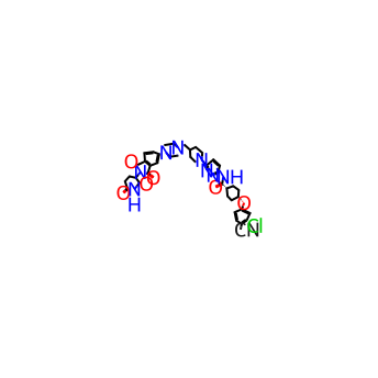 N#Cc1ccc(O[C@H]2CC[C@@H](C(=O)Nc3ccc(N4CCC(CN5CCN(c6ccc7c(c6)C(=O)N(C6CCC(=O)NC6=O)C7=O)CC5)CC4)nn3)CC2)cc1Cl